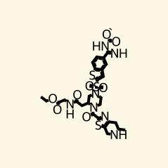 CCOC(=O)CNC(=O)CC1CN(S(=O)(=O)c2cc3cc(C(=N)NC(=O)OC)ccc3s2)CCN1C(=O)c1nc2c(s1)CNC(C)C2